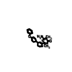 CN1C(=O)CC(C)(C2=CC(C3C=CC(Oc4ccccc4)=CC3)CC=C2)N=C1N